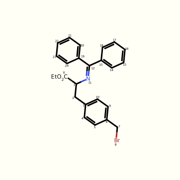 CCOC(=O)C(Cc1ccc(CBr)cc1)N=C(c1ccccc1)c1ccccc1